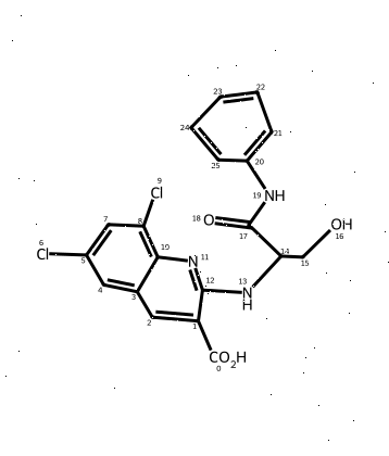 O=C(O)c1cc2cc(Cl)cc(Cl)c2nc1NC(CO)C(=O)Nc1ccccc1